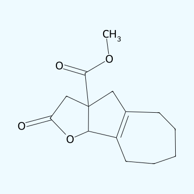 COC(=O)C12CC(=O)OC1C1=C(CCCCC1)C2